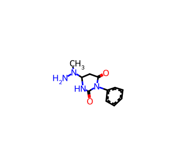 CN(N)C1CC(=O)N(c2ccccc2)C(=O)N1